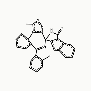 Cc1nnc2n1-c1ccccc1C(c1ccccc1F)=NC2(NC=O)c1cc2ccccc2[nH]1